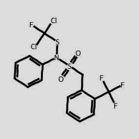 O=S(=O)(Cc1ccccc1C(F)(F)F)N(SC(F)(Cl)Cl)c1ccccc1